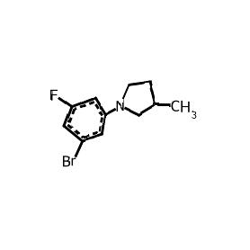 CC1CCN(c2cc(F)cc(Br)c2)C1